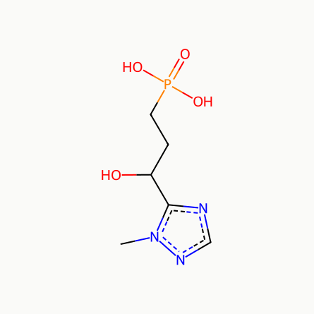 Cn1ncnc1C(O)CCP(=O)(O)O